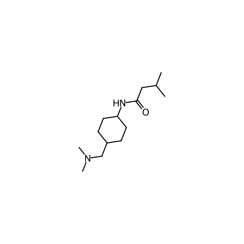 CC(C)CC(=O)NC1CCC(CN(C)C)CC1